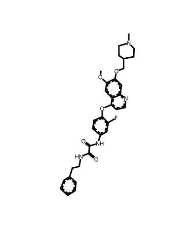 COc1cc2c(Oc3ccc(NC(=O)C(=O)NCCc4ccccc4)cc3F)ccnc2cc1OCC1CCN(C)CC1